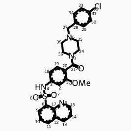 COc1cc(NS(=O)(=O)c2cccc3cccnc23)ccc1C(=O)N1CCN(Cc2ccc(Cl)cc2)CC1